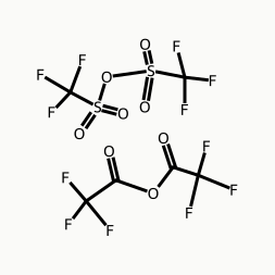 O=C(OC(=O)C(F)(F)F)C(F)(F)F.O=S(=O)(OS(=O)(=O)C(F)(F)F)C(F)(F)F